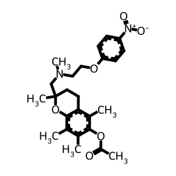 CC(=O)Oc1c(C)c(C)c2c(c1C)CCC(C)(CN(C)CCOc1ccc([N+](=O)[O-])cc1)O2